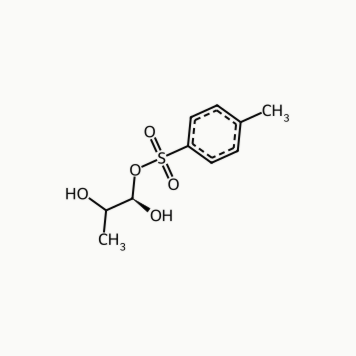 Cc1ccc(S(=O)(=O)O[C@@H](O)C(C)O)cc1